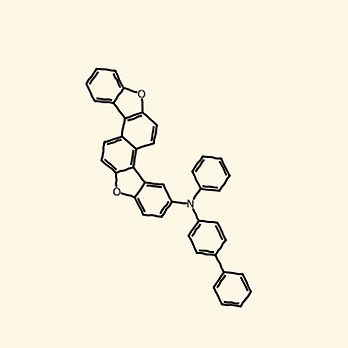 c1ccc(-c2ccc(N(c3ccccc3)c3ccc4oc5ccc6c(ccc7oc8ccccc8c76)c5c4c3)cc2)cc1